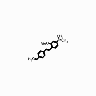 C=Cc1ccc(/C=C/c2ccc(N(C)C)cc2OC)cc1